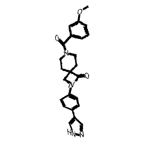 COc1cccc(C(=O)N2CCC3(CC2)CN(c2ccc(-c4cn[nH]c4)cc2)C3=O)c1